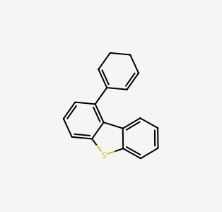 C1=CC(c2cccc3sc4ccccc4c23)=CCC1